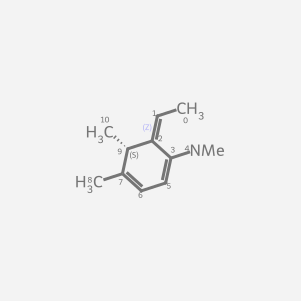 C/C=C1\C(NC)=CC=C(C)[C@@H]1C